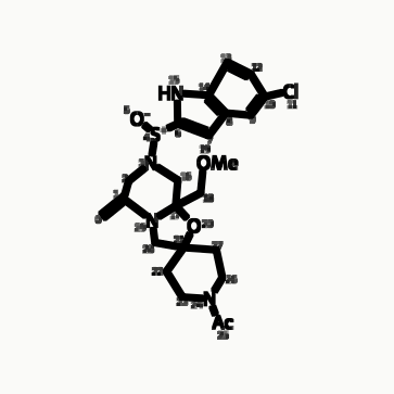 C=C1CN([S+]([O-])c2cc3cc(Cl)ccc3[nH]2)CC2(COC)OC3(CCN(C(C)=O)CC3)CN12